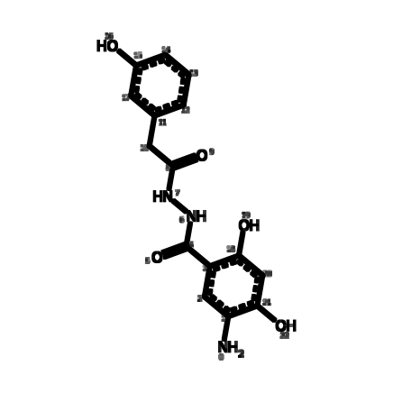 Nc1cc(C(=O)NNC(=O)Cc2cccc(O)c2)c(O)cc1O